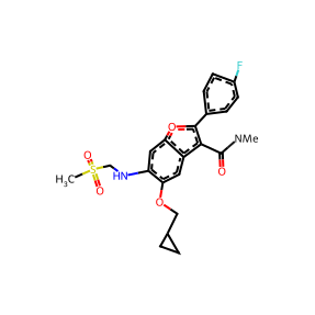 CNC(=O)c1c(-c2ccc(F)cc2)oc2cc(NCS(C)(=O)=O)c(OCC3CC3)cc12